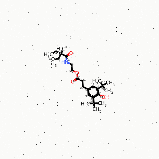 CCC(C)(CC)C(=O)NCCOC(=O)CCc1cc(C(C)(C)C)c(O)c(C(C)(C)C)c1